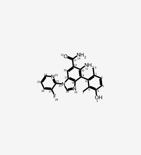 Cc1ccc(O)c(C)c1-c1c(N)c(C(N)=O)cc2c1ncn2-c1ncccc1F